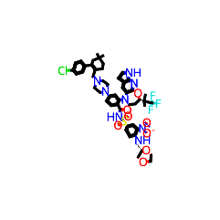 CC1(C)CCC(CN2CCN(c3ccc(C(=O)NS(=O)(=O)c4ccc(NC[C@H]5COCCO5)c([N+](=O)[O-])c4)c(N4CC[C@@H](C(C)(C)C(F)(F)F)Oc5nc6[nH]ccc6cc54)c3)CC2)=C(c2ccc(Cl)cc2)C1